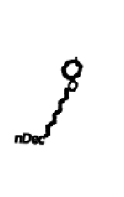 [CH2]CCCCCCCCCCCCCCCCCOC1CC[CH]CCC1